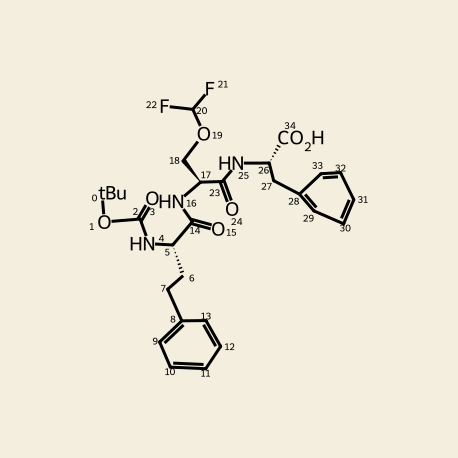 CC(C)(C)OC(=O)N[C@@H](CCc1ccccc1)C(=O)N[C@@H](COC(F)F)C(=O)N[C@@H](Cc1ccccc1)C(=O)O